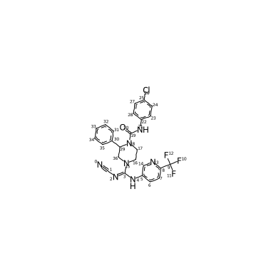 N#C/N=C(/Nc1ccc(C(F)(F)F)nc1)N1CCN(C(=O)Nc2ccc(Cl)cc2)C(c2ccccc2)C1